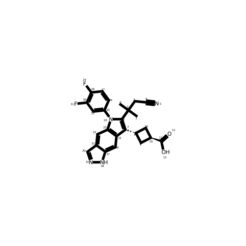 CC(C)(CC#N)c1c([C@H]2C[C@H](C(=O)O)C2)c2cc3[nH]ncc3cc2n1-c1ccc(F)c(F)c1